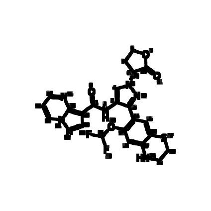 O=C(Nc1cn([C@@H]2CCOC2=O)nc1-c1cc2c(cc1OC(F)F)NCCS2)c1cnn2cccnc12